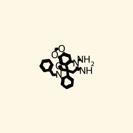 N=C1CC2(C(=O)N(Cc3ccccc3)c3ccccc32)c2cc3c(cc2N1N)OCO3